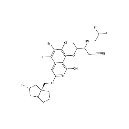 CC(Oc1c(Cl)c(Br)c(F)c2nc(OC[C@@]34CCCN3C[C@H](F)C4)nc(O)c12)C(CC#N)NCC(F)F